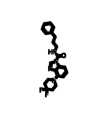 O=C(NCCCc1ccccc1)n1cnc2c(N3CCC(F)(F)CC3)cccc21